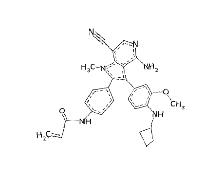 C=CC(=O)Nc1ccc(-c2c(-c3ccc(NC4CCC4)c(OC)c3)c3c(N)ncc(C#N)c3n2C)cc1